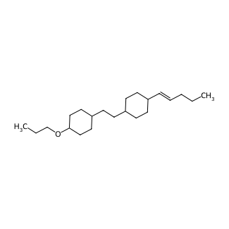 CCC/C=C/C1CCC(CCC2CCC(OCCC)CC2)CC1